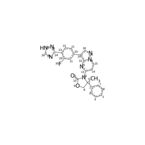 CC1(c2ccccc2)COC(=O)N1c1ccn2ncc(-c3ccc(-c4nc[nH]n4)c(F)c3)c2n1